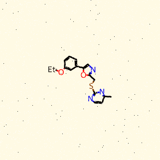 CCOc1cccc(-c2cnc(CSc3nccc(C)n3)o2)c1